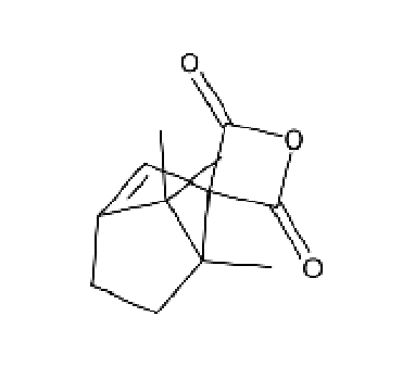 CC1(C)C2=CC3(C(=O)OC3=O)C1(C)CC2